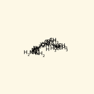 COC(=O)[C@H](CCCNC(=O)OC(C)(C)C)NC(=O)c1ccc(/C=C/c2cnc3nc(N)nc(N)c3n2)cc1